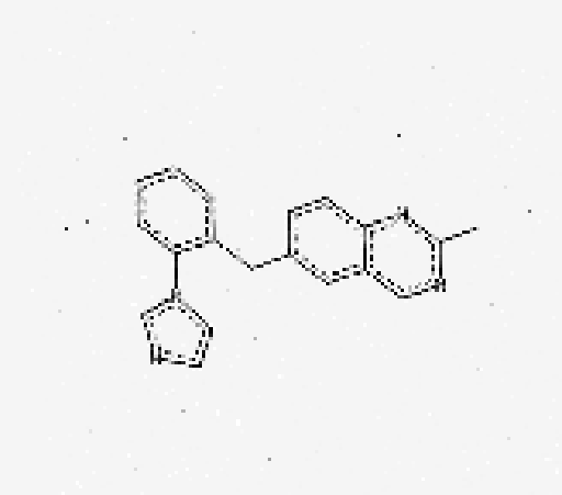 Cc1ncc2cc(Cc3ccccc3-n3ccnc3)ccc2n1